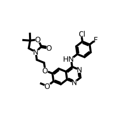 COc1cc2ncnc(Nc3ccc(F)c(Cl)c3)c2cc1OCCN1CC(C)(C)OC1=O